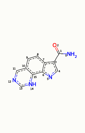 NC(=O)c1cnc2c1ccc1cnc[nH]c12